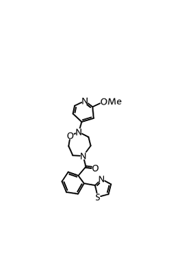 COc1cc(N2CCN(C(=O)c3ccccc3-c3nccs3)CCO2)ccn1